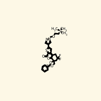 COCC1(OCc2ccccc2)CC(F)(F)Cc2c1oc(=O)c1sc(-c3cnn(COCC[Si](C)(C)C)c3)cc21